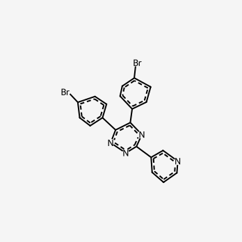 Brc1ccc(-c2nnc(-c3cccnc3)nc2-c2ccc(Br)cc2)cc1